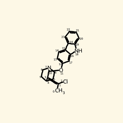 CC(Cl)=C1C2CCN(CC2)C1Oc1ccc2c(c1)[nH]c1ccccc12